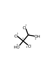 OC(Cl)C(O)(Cl)Cl